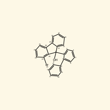 OC1(c2ccccc2-c2ccccc2)c2ccccc2-c2cccc(Br)c21